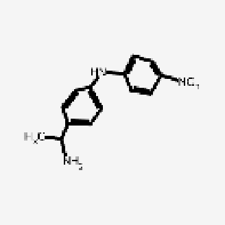 CC(N)c1ccc(Nc2ccc([N+](=O)[O-])cc2)cc1